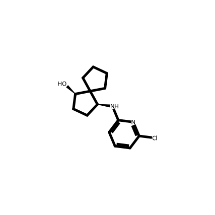 O[C@@H]1CC[C@H](Nc2cccc(Cl)n2)C12CCCC2